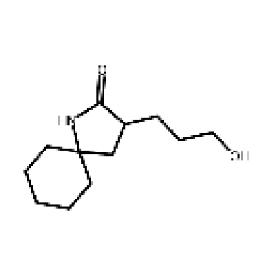 O=C1NC2(CCCCC2)CC1CCCO